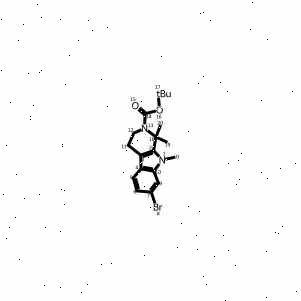 Cn1c2c(c3ccc(Br)cc31)CCN(C(=O)OC(C)(C)C)C2(C)C